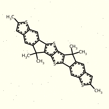 Cc1cc2cc3c(cc2s1)-c1sc2c4c(sc2c1C3(C)C)-c1cc2sc(C)cc2cc1C4(C)C